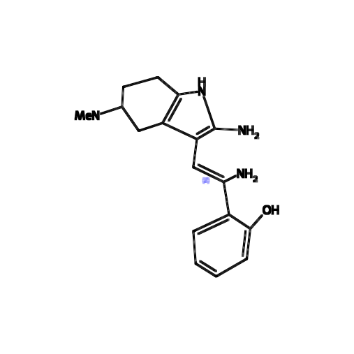 CNC1CCc2[nH]c(N)c(/C=C(\N)c3ccccc3O)c2C1